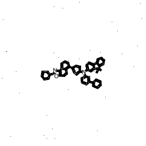 CC1(C)c2ccccc2-c2ccc(N(c3ccc(-c4cccc5c4ccc4oc(-c6ccccc6)nc45)cc3)c3cccc(-c4ccccc4)c3)cc21